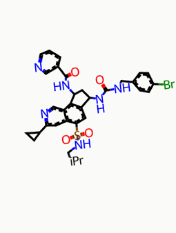 CC(C)CNS(=O)(=O)c1cc2c(c3cnc(C4CC4)cc13)C(NC(=O)c1cccnc1)CC2NC(=O)NCc1ccc(Br)cc1